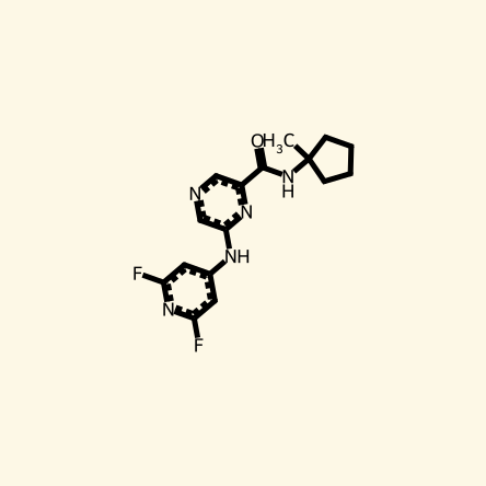 CC1(NC(=O)c2cncc(Nc3cc(F)nc(F)c3)n2)CCCC1